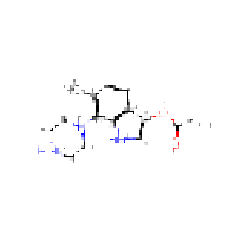 N#Cc1ccc2c(OC(=O)C(F)(F)F)c[nH]c2c1N1CCNCC1